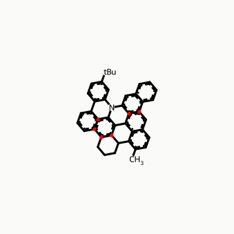 Cc1ccc2cccc(-c3ccccc3N(c3ccc4ccccc4c3)c3cc(C(C)(C)C)ccc3-c3ccccc3)c2c1C1CCCCC1